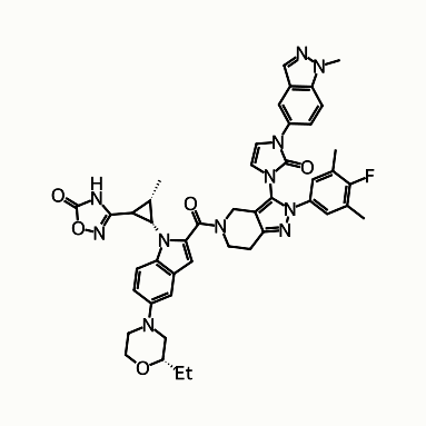 CC[C@H]1CN(c2ccc3c(c2)cc(C(=O)N2CCc4nn(-c5cc(C)c(F)c(C)c5)c(-n5ccn(-c6ccc7c(cnn7C)c6)c5=O)c4C2)n3[C@@H]2C(c3noc(=O)[nH]3)[C@@H]2C)CCO1